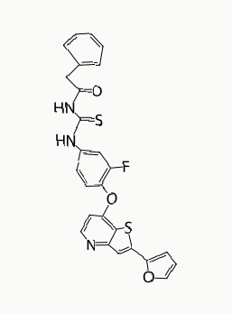 O=C(Cc1ccccc1)NC(=S)Nc1ccc(Oc2ccnc3cc(-c4ccco4)sc23)c(F)c1